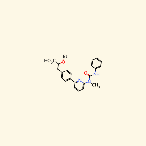 CCOC(Cc1ccc(-c2cccc(N(C)C(=O)Nc3ccccc3)n2)cc1)C(=O)O